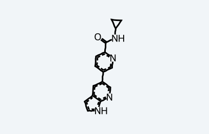 O=C(NC1CC1)c1ccc(-c2cnc3[nH]ccc3c2)cn1